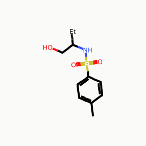 CCC(CO)NS(=O)(=O)c1ccc(C)cc1